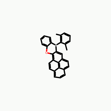 Cc1cccc(C)c1B1c2ccccc2Oc2c1cc1ccc3cccc4ccc2c1c34